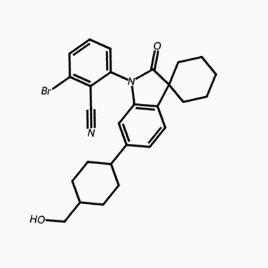 N#Cc1c(Br)cccc1N1C(=O)C2(CCCCC2)c2ccc(C3CCC(CO)CC3)cc21